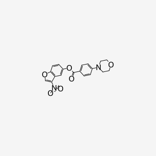 O=C(Oc1ccc2occ([N+](=O)[O-])c2c1)c1ccc(N2CCOCC2)cc1